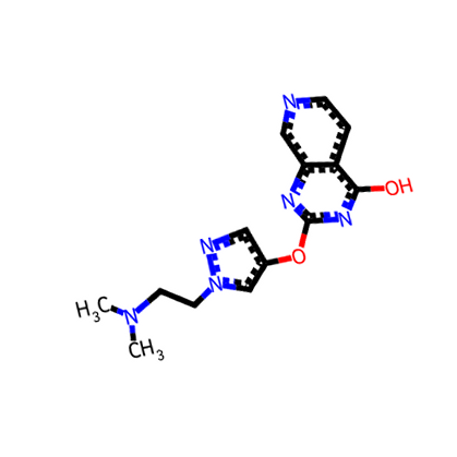 CN(C)CCn1cc(Oc2nc(O)c3ccncc3n2)cn1